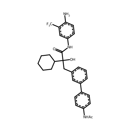 CC(=O)Nc1ccc(-c2cccc(CC(O)(C(=O)Nc3ccc(N)c(C(F)(F)F)c3)C3CCCCC3)c2)cc1